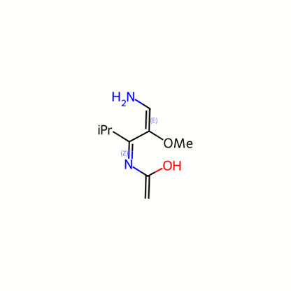 C=C(O)/N=C(\C(=C/N)OC)C(C)C